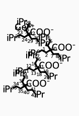 CC(C)CCC(CCC(C)C)(CCC(C)C)C(=O)[O-].CC(C)CCC(CCC(C)C)(CCC(C)C)C(=O)[O-].CC(C)CCC(CCC(C)C)(CCC(C)C)C(=O)[O-].CC(C)CCC(CCC(C)C)(CCC(C)C)C(=O)[O-].[Ge+4]